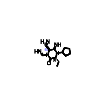 CC[C@@H]1C(=O)N(C=N)/C(=C/N)C(=N)N1C1CCCC1